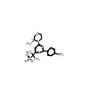 CCS(=O)(=O)C(C)(C)c1cc(N2CCOC[C@@H]2C)nc(-c2ccc(N)cc2)n1